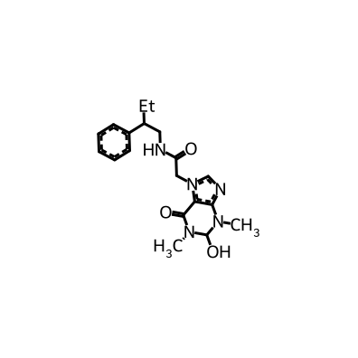 CCC(CNC(=O)Cn1cnc2c1C(=O)N(C)C(O)N2C)c1ccccc1